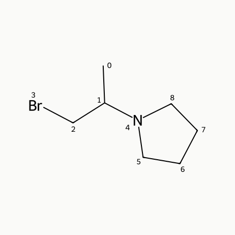 CC(CBr)N1CCCC1